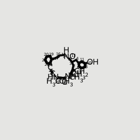 C=C1CC(Cc2cccc(O)c2)C(=O)NC/C=C/c2ccccc2CCCNC(C)(C)C(=O)NC1(C)C